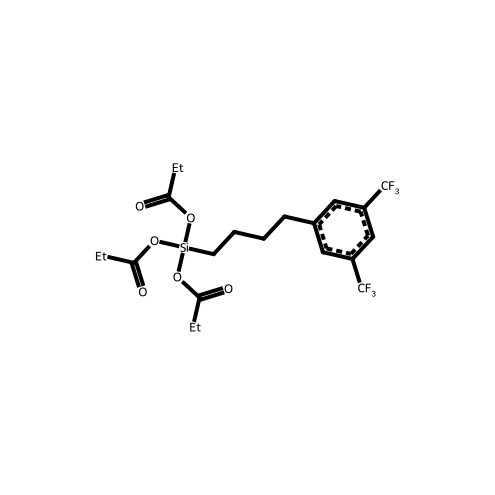 CCC(=O)O[Si](CCCCc1cc(C(F)(F)F)cc(C(F)(F)F)c1)(OC(=O)CC)OC(=O)CC